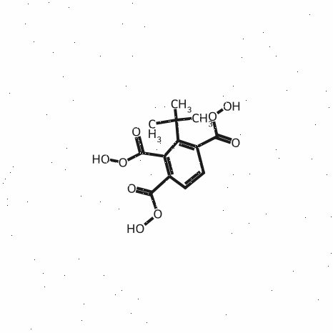 CC(C)(C)c1c(C(=O)OO)ccc(C(=O)OO)c1C(=O)OO